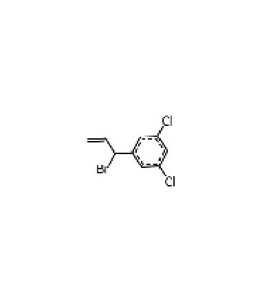 C=CC(Br)c1cc(Cl)cc(Cl)c1